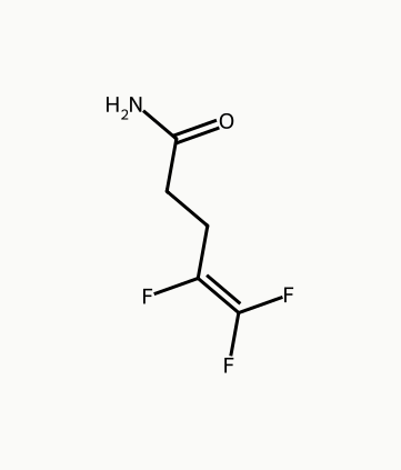 NC(=O)CCC(F)=C(F)F